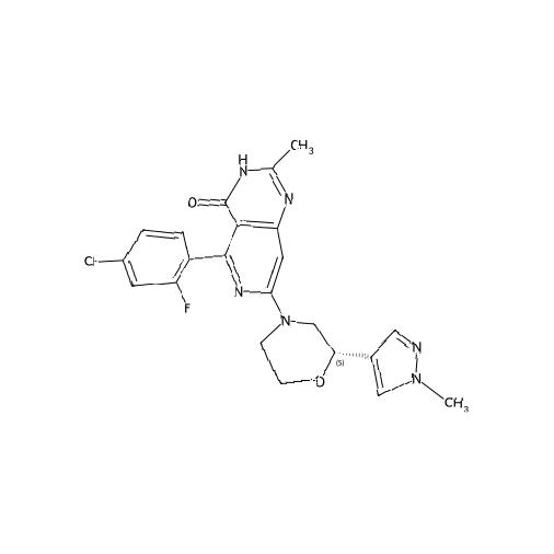 Cc1nc2cc(N3CCO[C@@H](c4cnn(C)c4)C3)nc(-c3ccc(Cl)cc3F)c2c(=O)[nH]1